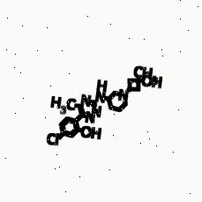 Cc1nc(NC2CCCN(C3CC(C)(O)C3)C2)nnc1-c1ccc(Cl)cc1O